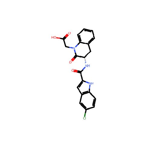 O=C(O)CN1C(=O)[C@@H](NC(=O)c2cc3cc(Cl)ccc3[nH]2)Cc2ccccc21